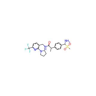 CC(C(=O)NCc1ccc(C(F)(F)F)nc1N1CCCC1)c1ccc(C(N)S(C)(=O)=O)cc1